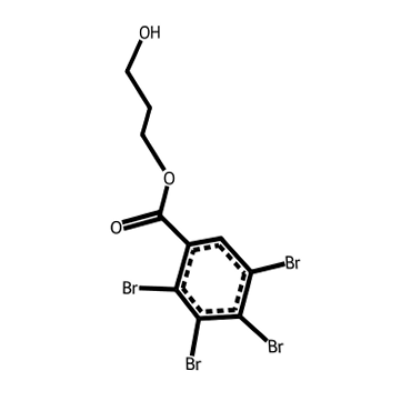 O=C(OCCCO)c1cc(Br)c(Br)c(Br)c1Br